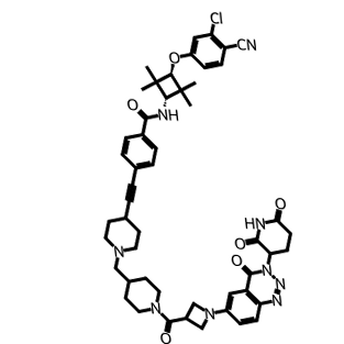 CC1(C)[C@H](NC(=O)c2ccc(C#CC3CCN(CC4CCN(C(=O)C5CN(c6ccc7nnn(C8CCC(=O)NC8=O)c(=O)c7c6)C5)CC4)CC3)cc2)C(C)(C)[C@H]1Oc1ccc(C#N)c(Cl)c1